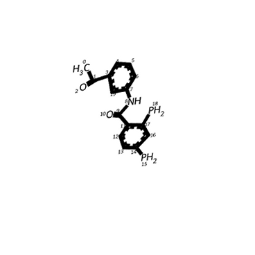 CC(=O)c1cccc(NC(=O)c2ccc(P)cc2P)c1